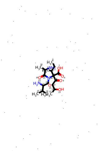 CCC(C)C(C(=O)O)(C(=O)CC(C)O)N(C(=O)C(C)N)C(=O)C(N)C(C)C